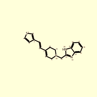 C(=Cc1ccsc1)C1=CCN(Cc2nc3ccccc3[nH]2)CC1